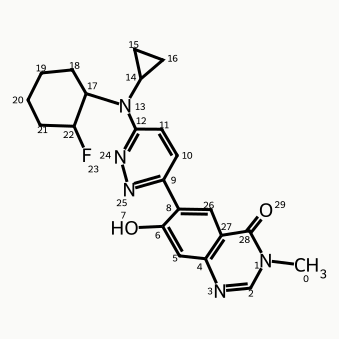 Cn1cnc2cc(O)c(-c3ccc(N(C4CC4)C4CCCCC4F)nn3)cc2c1=O